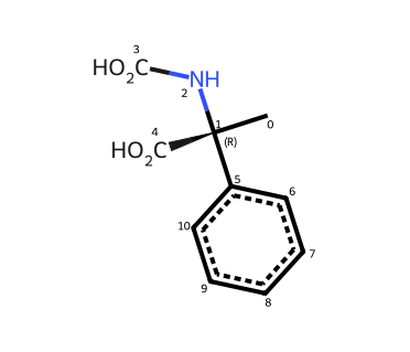 C[C@](NC(=O)O)(C(=O)O)c1ccccc1